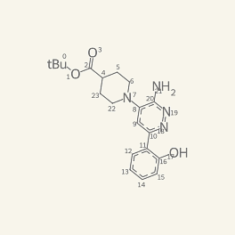 CC(C)(C)OC(=O)C1CCN(c2cc(-c3ccccc3O)nnc2N)CC1